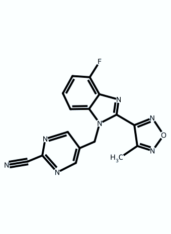 Cc1nonc1-c1nc2c(F)cccc2n1Cc1cnc(C#N)nc1